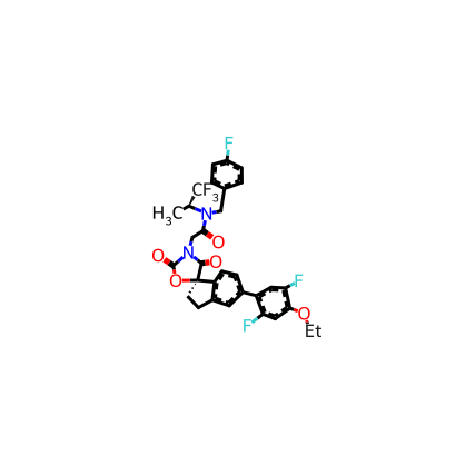 CCOc1cc(F)c(-c2ccc3c(c2)CC[C@@]32OC(=O)N(CC(=O)N(Cc3ccc(F)cc3)[C@@H](C)C(F)(F)F)C2=O)cc1F